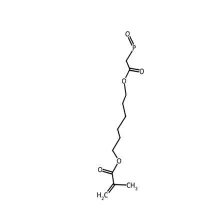 C=C(C)C(=O)OCCCCCCOC(=O)CP=O